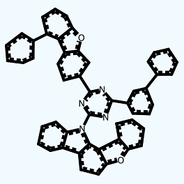 c1ccc(-c2cccc(-c3nc(-c4ccc5c(c4)oc4cccc(-c6ccccc6)c45)nc(-n4c5ccccc5c5ccc6oc7ccccc7c6c54)n3)c2)cc1